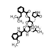 COc1cccc2[nH]c(C(=O)N[C@@H](CC(C)C)C(=O)N[C@@H](C[C@@H]3CCNC3=O)C(=O)COC(=O)c3ccccc3CN(C)C)cc12